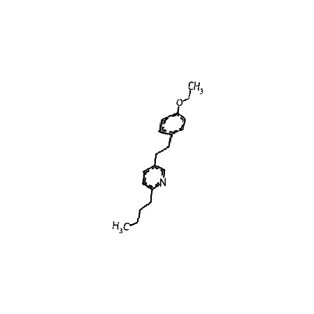 CCCCc1ccc(CCc2ccc(OCC)cc2)cn1